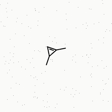 CC1=[C]C1C